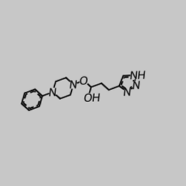 OC(CCc1c[nH]nn1)ON1CCN(c2ccccc2)CC1